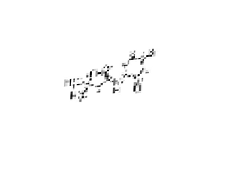 CC(C)(C)CC(=O)Nc1ccc(Br)cc1Cl